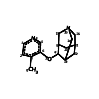 Cc1ccncc1OC1C2CC3CC1CN(C3)C2